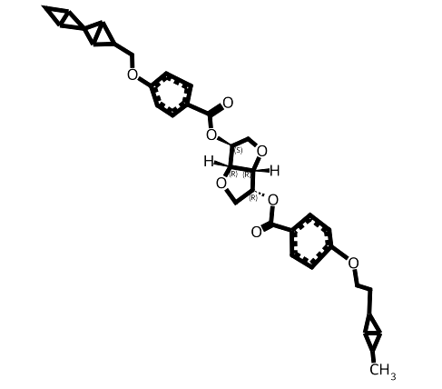 CC1C2C(CCOc3ccc(C(=O)O[C@@H]4CO[C@H]5[C@@H]4OC[C@@H]5OC(=O)c4ccc(OCC5C6C5C65C6CC65)cc4)cc3)C12